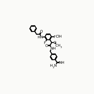 COC(C(=O)NCc1ccc(C(=N)N)cc1)c1c(F)ccc(NC(=O)Cc2ccccc2)c1F.Cl